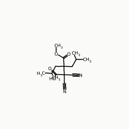 COC(=O)C(CC(C)C)(CC(C)C)C(C#N)(C#N)C(=O)O